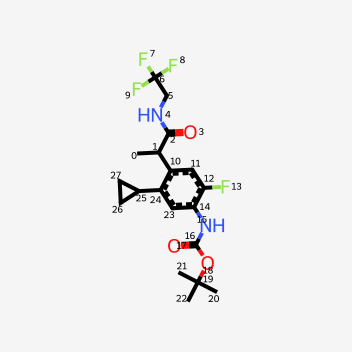 CC(C(=O)NCC(F)(F)F)c1cc(F)c(NC(=O)OC(C)(C)C)cc1C1CC1